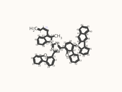 C=C/C=C\c1c(C)n(-c2nc(-c3cccc4c3oc3ccccc34)nc(-c3ccc(-n4c5ccccc5c5cc6ccccc6cc54)c4c3oc3ccccc34)n2)c2ccccc12